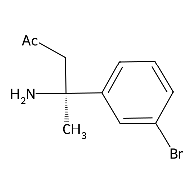 CC(=O)C[C@](C)(N)c1cccc(Br)c1